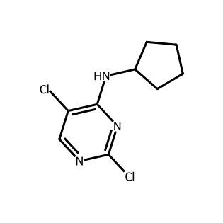 Clc1ncc(Cl)c(NC2CCCC2)n1